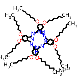 CCCCCCCCOc1cc2c(cc1OCCCCCCCC)-c1nc-2nc2[nH]c(nc3nc(nc4[nH]c(n1)c1cc(OCCCCCCCC)c(OCCCCCCCC)cc41)-c1cc(OCCCCCCCC)c(OCCCCCCCC)cc1-3)c1cc(OCCCCCCCC)c(OCCCCCCCC)cc21.[Ni+2]